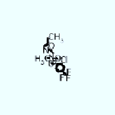 CCc1cnc(CN(C)S(=O)(=O)c2ccc(C(F)(F)F)cc2Cl)o1